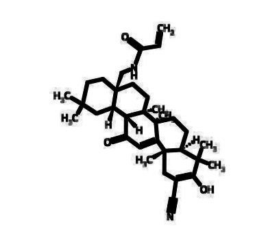 C=CC(=O)NC[C@]12CCC(C)(C)C[C@H]1[C@H]1C(=O)C=C3[C@@]4(C)CC(C#N)=C(O)C(C)(C)[C@@H]4CC[C@@]3(C)[C@]1(C)CC2